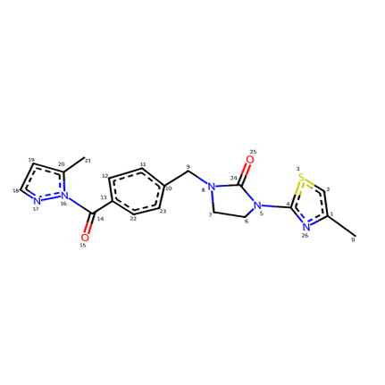 Cc1csc(N2CCN(Cc3ccc(C(=O)n4nccc4C)cc3)C2=O)n1